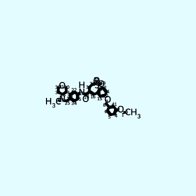 CCOc1cccc(COc2ccc3c(c2)C=C(C(=O)Nc2ccc(CN(C)C4CCOCC4)cc2)CCS3(=O)=O)c1